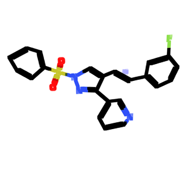 O=S(=O)(c1ccccc1)n1cc(/C=C/c2cccc(F)c2)c(-c2cccnc2)n1